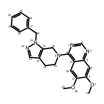 COc1cc2ncnc(N3CCc4cnn(Cc5ccccc5)c4C3)c2cc1OC